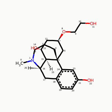 CN1CCC[C@]23C[C@H](OCCO)C[C@@H](O)[C@@H]2[C@H]1Cc1ccc(O)cc13